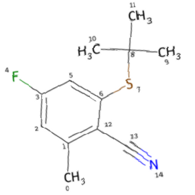 Cc1cc(F)cc(SC(C)(C)C)c1C#N